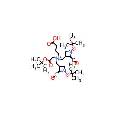 CC(C)(C)OC(=O)C[N+](CCCC(=O)O)(CC1CN(OC(C)(C)C)C1=C=O)CC1CN(OC(C)(C)C)C1=C=O